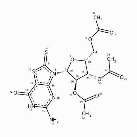 CC(=O)OC[C@H]1O[C@@H](n2c(=S)sc3c(=O)[nH]c(N)nc32)[C@H](OC(C)=O)[C@H]1OC(C)=O